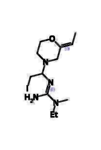 C/C=C1/CN(C(CI)/N=C(\N)N(C)CC)CCO1